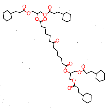 O=C(CCCCCC(=O)OC(COC(=O)CCC1CCCCC1)COC(=O)CCC1CCCCC1)CCCCCC(=O)OC(COC(=O)CCC1CCCCC1)COC(=O)CCC1CCCCC1